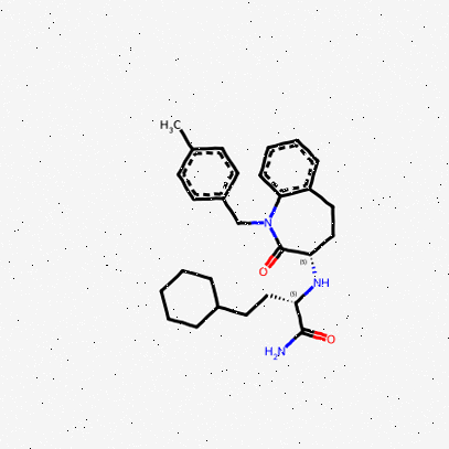 Cc1ccc(CN2C(=O)[C@@H](N[C@@H](CCC3CCCCC3)C(N)=O)CCc3ccccc32)cc1